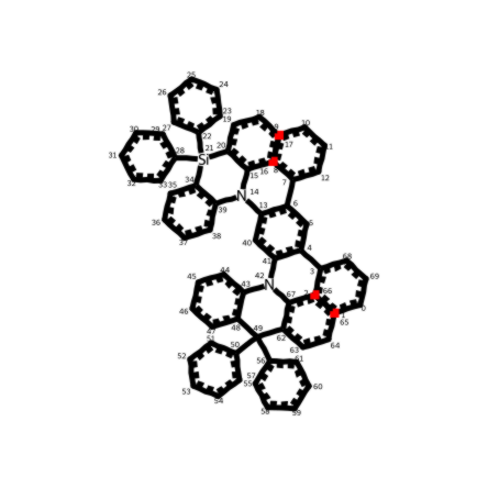 c1ccc(-c2cc(-c3ccccc3)c(N3c4ccccc4[Si](c4ccccc4)(c4ccccc4)c4ccccc43)cc2N2c3ccccc3C(c3ccccc3)(c3ccccc3)c3ccccc32)cc1